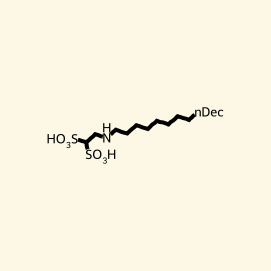 CCCCCCCCCCCCCCCCCCNCC(S(=O)(=O)O)S(=O)(=O)O